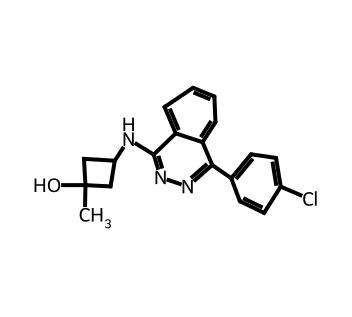 CC1(O)CC(Nc2nnc(-c3ccc(Cl)cc3)c3ccccc23)C1